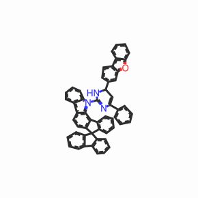 C1=C(c2ccccc2)N=C(n2c3ccccc3c3ccc4c(c32)-c2ccccc2C42c3ccccc3-c3ccccc32)NC1c1ccc2c(c1)oc1ccccc12